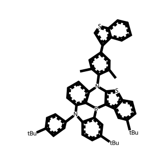 Cc1cc(-c2csc3ccccc23)cc(C)c1N1c2cccc3c2B(c2cc(C(C)(C)C)ccc2N3c2ccc(C(C)(C)C)cc2)c2c1sc1ccc(C(C)(C)C)cc21